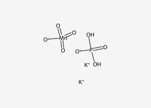 O=P([O-])(O)O.[K+].[K+].[O]=[Mn](=[O])(=[O])[O-]